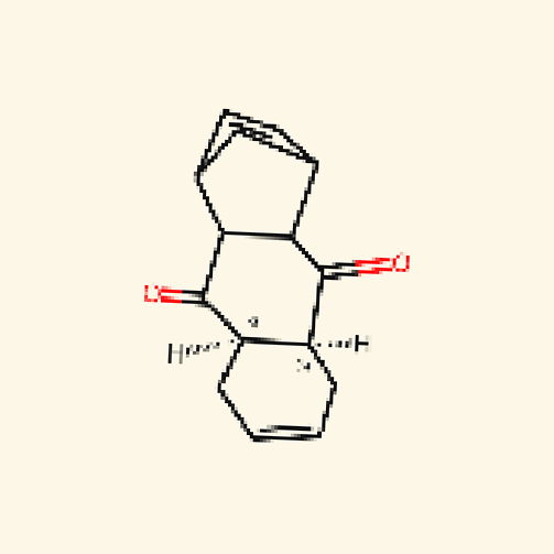 O=C1C2C3C=CC(C3)C2C(=O)[C@@H]2CC=CC[C@H]12